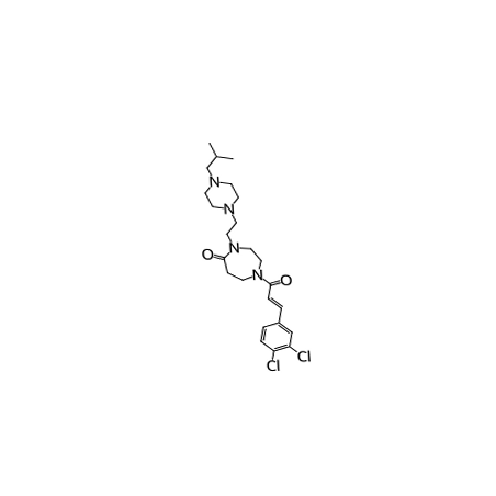 CC(C)CN1CCN(CCN2CCN(C(=O)C=Cc3ccc(Cl)c(Cl)c3)CCC2=O)CC1